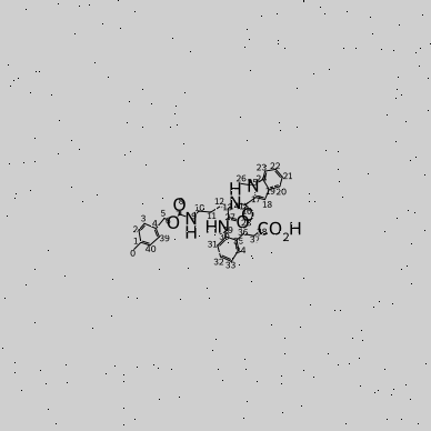 Cc1ccc(COC(=O)NCCC[C@H](NC(=O)c2cc3ccccc3n2C)C(=O)Nc2ccccc2CCC(=O)O)cc1